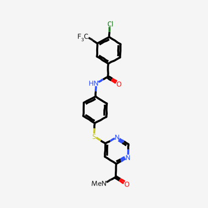 CNC(=O)c1cc(Sc2ccc(NC(=O)c3ccc(Cl)c(C(F)(F)F)c3)cc2)ncn1